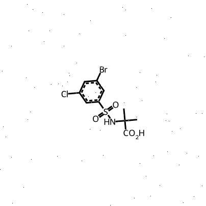 CC(C)(NS(=O)(=O)c1cc(Cl)cc(Br)c1)C(=O)O